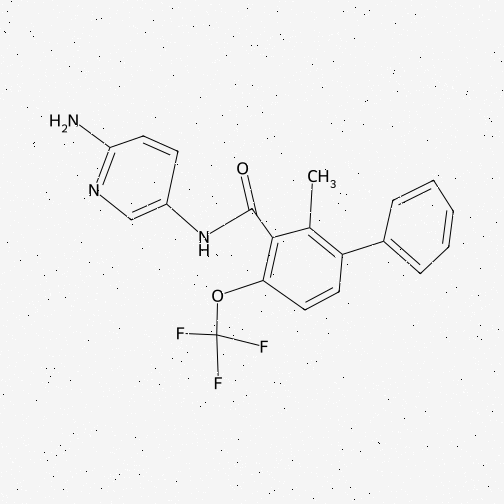 Cc1c(-c2ccccc2)ccc(OC(F)(F)F)c1C(=O)Nc1ccc(N)nc1